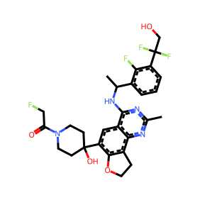 Cc1nc(NC(C)c2cccc(C(F)(F)CO)c2F)c2cc(C3(O)CCN(C(=O)CF)CC3)c3c(c2n1)CCO3